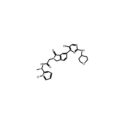 C[C@@H](NC(=O)CN1Cc2ccc(-c3nc(NC4CCOCC4)ncc3Cl)cc2C1=O)c1cccc[n+]1[O-]